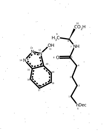 CCCCCCCCCCCCCCC(=O)N[C@@H](C)C(=O)O.On1nnc2ccccc21